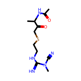 CC(=O)NC(C)C(=O)CSCCNC(=N)N(C)C#N